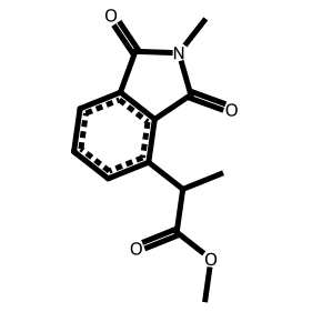 COC(=O)C(C)c1cccc2c1C(=O)N(C)C2=O